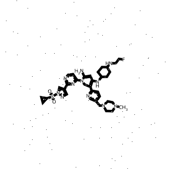 CN1CCN(Cc2ccc(C3=C(NC4CCC(NCCF)CC4)C=C(N)N(c4ccnc(-c5cnn(S(=O)(=O)C6CC6)c5)n4)C3)nc2)CC1